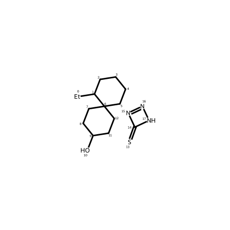 CCC1CCCCC12CCC(O)CC2.S=C1N=NN1